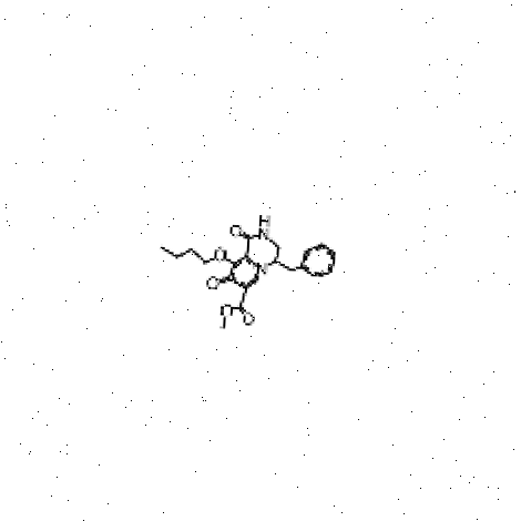 CCCCOc1c2n(cc(C(=O)OC)c1=O)C(Cc1ccccc1)CNC2=O